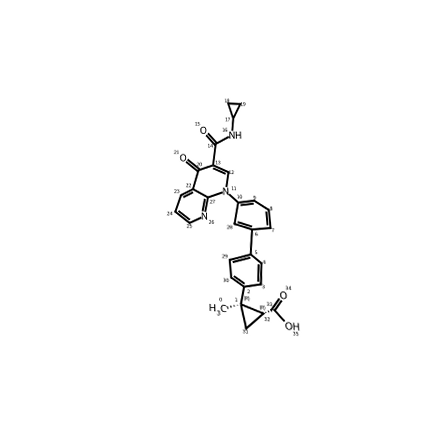 C[C@@]1(c2ccc(-c3cccc(-n4cc(C(=O)NC5CC5)c(=O)c5cccnc54)c3)cc2)C[C@H]1C(=O)O